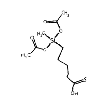 CC(=O)O[Si](C)(CCCCC(O)=S)OC(C)=O